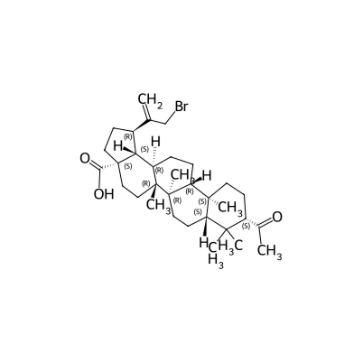 C=C(CBr)[C@@H]1CC[C@]2(C(=O)O)CC[C@]3(C)[C@H](CC[C@@H]4[C@@]5(C)CC[C@H](C(C)=O)C(C)(C)[C@@H]5CC[C@]43C)[C@@H]12